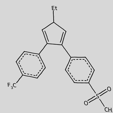 CCC1C=C(c2ccc(C(F)(F)F)cc2)C(c2ccc(S(C)(=O)=O)cc2)=C1